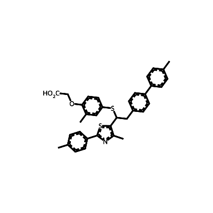 Cc1ccc(-c2ccc(CC(Sc3ccc(OCC(=O)O)c(C)c3)c3sc(-c4ccc(C)cc4)nc3C)cc2)cc1